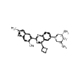 C[C@H]1CN(c2ccc3nc(-c4cc5cn(C)nc5cc4O)nc(C4CCC4)c3c2)C[C@H](C)N1